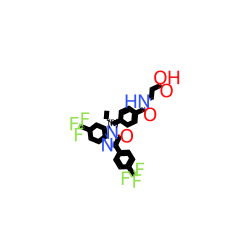 CC[C@H](C1C=CC(C(=O)NCCC(=O)O)=CC1)N1C(=O)C(c2ccc(C(F)(F)F)cc2)=NC12CCC(C(F)(F)F)CC2